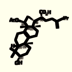 C=C(CC[C@@H](C(=O)O)[C@H]1C[C@H](OC(C)=O)[C@@]2(C)C3=C(CC[C@]12C)[C@@]1(C)CC[C@H](O)C(C)(C)[C@@H]1CC3)C(C)C